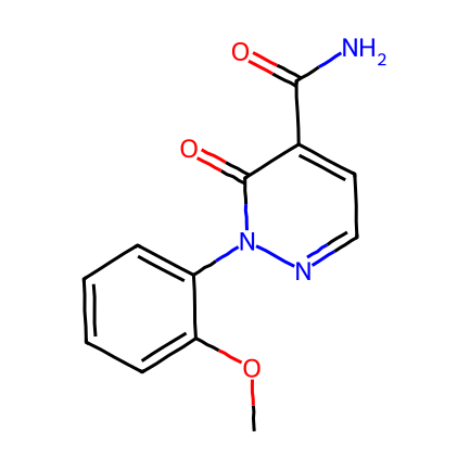 COc1ccccc1-n1nccc(C(N)=O)c1=O